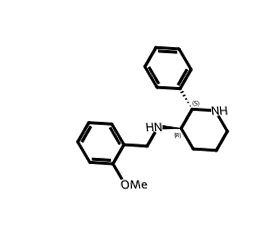 COc1ccccc1CN[C@@H]1CCCN[C@H]1c1ccccc1